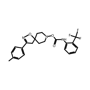 Cc1ccc(C2=NOC3(CCN(OC(=O)Nc4ccccc4C(F)(F)F)CC3)C2)cc1